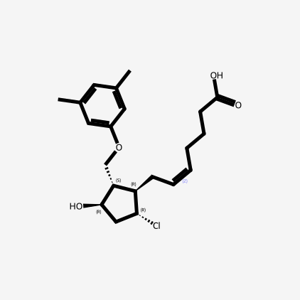 Cc1cc(C)cc(OC[C@@H]2[C@@H](C/C=C\CCCC(=O)O)[C@H](Cl)C[C@H]2O)c1